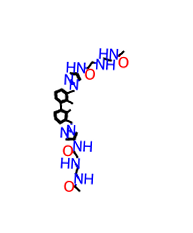 CC(=O)NCCNCC(=O)Nc1cnn(Cc2cccc(-c3cccc(Cn4cc(NC(=O)CNCCNC(C)=O)cn4)c3C)c2C)c1